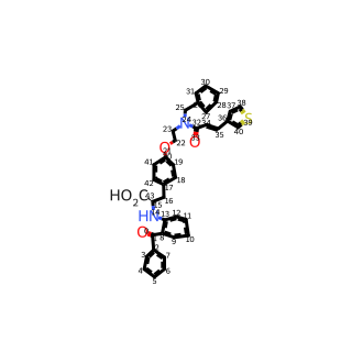 O=C(c1ccccc1)c1ccccc1N[C@@H](Cc1ccc(OCCN(Cc2ccccc2)C(=O)/C=C/c2ccsc2)cc1)C(=O)O